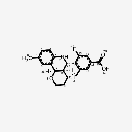 Cc1ccc2c(c1)[C@@H]1OCCC[C@@H]1[C@@H](c1c(F)cc(C(=O)O)cc1F)N2